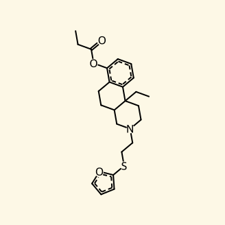 CCC(=O)Oc1cccc2c1CCC1CN(CCSc3ccco3)CCC21CC